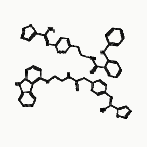 NC(=Nc1ccc(CC(=O)NCCOc2cccc3[nH]c4ccccc4c23)cc1)c1cccs1.NC(=Nc1ccc(CCNC(=O)c2ccccc2Nc2ccccc2)cc1)c1cccs1